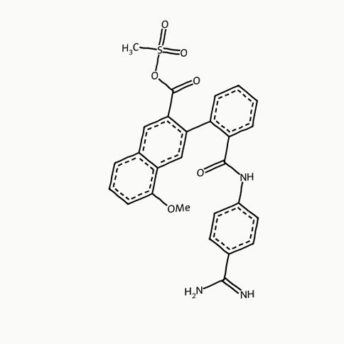 COc1cccc2cc(C(=O)OS(C)(=O)=O)c(-c3ccccc3C(=O)Nc3ccc(C(=N)N)cc3)cc12